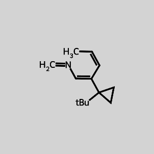 C=N/C=C(\C=C/C)C1(C(C)(C)C)CC1